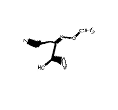 CON=C(C#N)C(=O)O